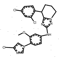 COc1cc(Nc2nc3n(n2)CCCC3c2ccc(Cl)cc2Cl)ccc1-n1cnc(Cl)c1